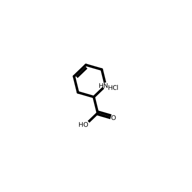 Cl.O=C(O)C1CC=CCN1